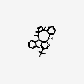 Cc1ccccc1N1c2cc(C(F)(F)F)cnc2Nc2ccccc2C2(C)C=CC2(C)C1C